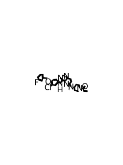 C=CC(=O)N1CCC(N(C)c2ccc3ncnc(Nc4ccc(OCc5cccc(F)c5)c(Cl)c4)c3n2)CC1